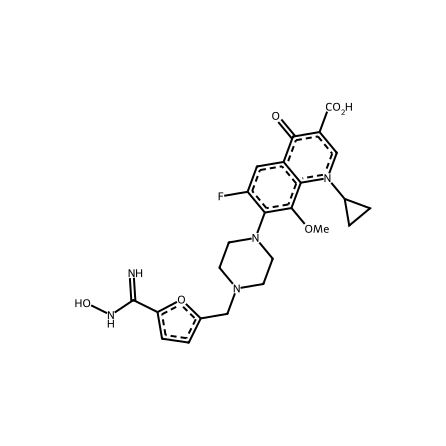 COc1c(N2CCN(Cc3ccc(C(=N)NO)o3)CC2)c(F)cc2c(=O)c(C(=O)O)cn(C3CC3)c12